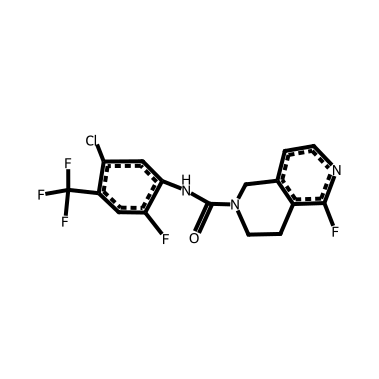 O=C(Nc1cc(Cl)c(C(F)(F)F)cc1F)N1CCc2c(ccnc2F)C1